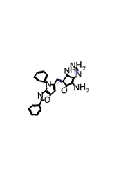 N=C1C(/N=C\N)=C(N)C(=O)/C1=C\c1cc2oc(-c3ccccc3)nc2n1-c1ccccc1